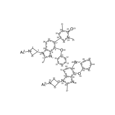 CC(=O)N1CC(n2c(C)nc3c(Oc4ccccc4)c(-c4cc(C)c(=O)n(C)c4)ccc32)C1.CC(=O)N1CC(n2c(C)nc3c(Oc4ccccc4)c(Br)ccc32)C1